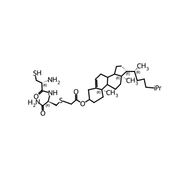 CC(C)CCC[C@@H](C)[C@H]1CCC2C3CC=C4CC(OC(=O)CSC[C@H](NC(=O)[C@@H](N)CS)C(N)=O)CC[C@]4(C)C3CC[C@@]21C